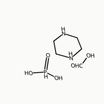 C1CNCCN1.O=CO.O=[PH](O)O